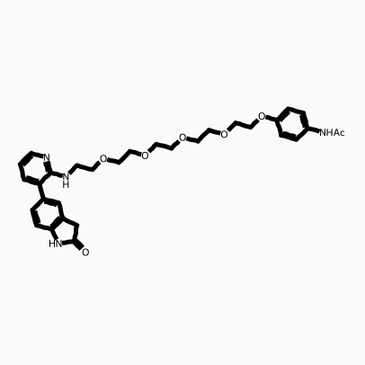 CC(=O)Nc1ccc(OCCOCCOCCOCCOCCNc2ncccc2-c2ccc3c(c2)CC(=O)N3)cc1